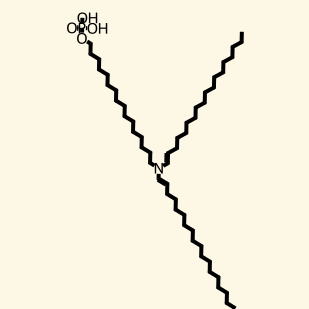 CCCCCCCCCCCCCCCCC=CN(C=CCCCCCCCCCCCCCCCC)CCCCCCCCCCCCCCCCOP(=O)(O)O